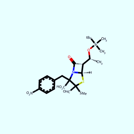 CSC1(C=O)S[C@@H]2[C@@H]([C@@H](C)O[Si](C)(C)C(C)(C)C)C(=O)N2C1(Cc1ccc([N+](=O)[O-])cc1)C(=O)O